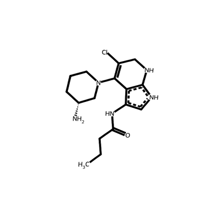 CCCC(=O)Nc1c[nH]c2c1C(N1CCC[C@@H](N)C1)=C(Cl)CN2